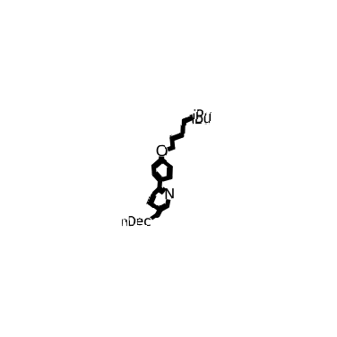 CCCCCCCCCCCc1ccc(-c2ccc(OCCCCC(C)CC)cc2)nc1